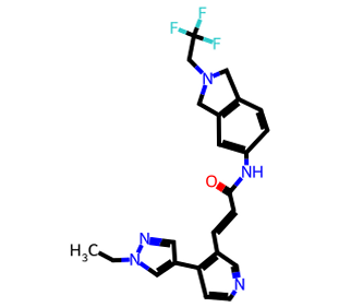 CCn1cc(-c2ccncc2/C=C/C(=O)Nc2ccc3c(c2)CN(CC(F)(F)F)C3)cn1